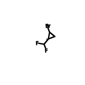 FC(F)[C]1CC1Br